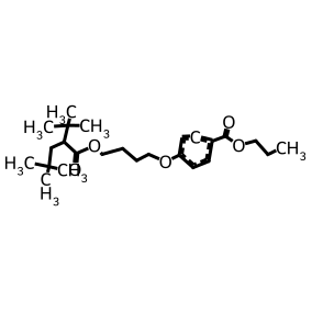 CCCOC(=O)c1ccc(OCCCCOC(=O)C(CC(C)(C)C)C(C)(C)C)cc1